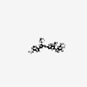 Nc1nc2c(nnn2[C@@H]2SC(CC(S)OC[C@H]3C[C@H](c4cnc5c(N)ncnn45)O[C@@H]3COP)[C@@H](O)[C@H]2OS)c(=O)[nH]1